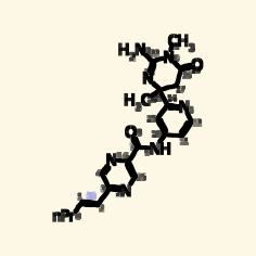 CCC/C=C/c1cnc(C(=O)Nc2ccnc(C3(C)CC(=O)N(C)C(N)=N3)c2)cn1